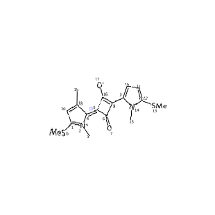 CSC1=[N+](C)/C(=C2\C(=O)C(c3ccc(SC)n3C)=C2[O-])C(C)=C1